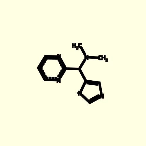 CN(C)C(C1=CN=C[N]1)c1ncccn1